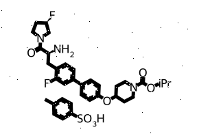 CC(C)OC(=O)N1CCC(Oc2ccc(-c3ccc(C[C@H](N)C(=O)N4CC[C@H](F)C4)c(F)c3)cc2)CC1.Cc1ccc(S(=O)(=O)O)cc1